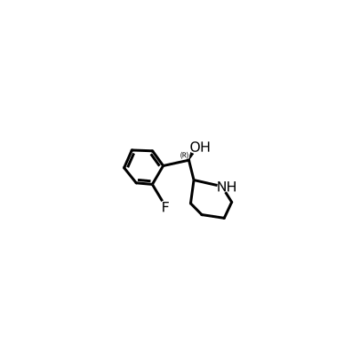 O[C@H](c1ccccc1F)C1CCCCN1